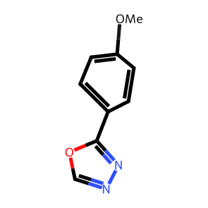 COc1ccc(-c2nnco2)cc1